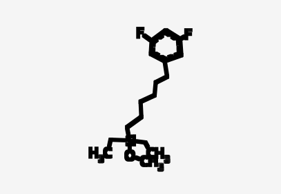 CC[Si](CC)(CCCCCCc1cc(F)cc(F)c1)OC